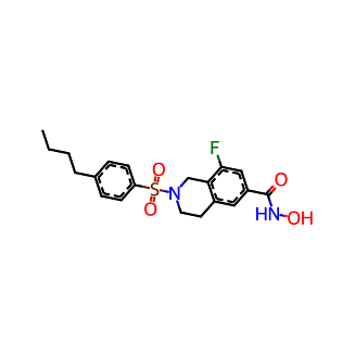 CCCCc1ccc(S(=O)(=O)N2CCc3cc(C(=O)NO)cc(F)c3C2)cc1